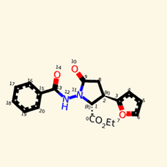 CCOC(=O)[C@H]1[C@H](c2ccco2)CC(=O)N1NC(=O)c1ccccc1